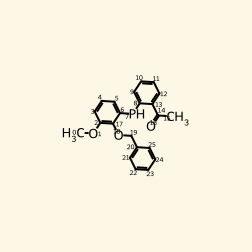 COc1cccc(Pc2ccccc2C(C)=O)c1OCc1ccccc1